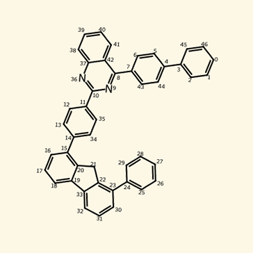 c1ccc(-c2ccc(-c3nc(-c4ccc(-c5cccc6c5Cc5c(-c7ccccc7)cccc5-6)cc4)nc4ccccc34)cc2)cc1